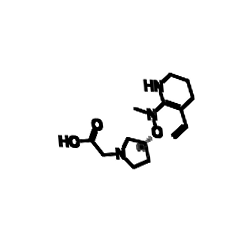 C=CC1=C(N(C)O[C@@H]2CCN(CC(=O)O)C2)NCCC1